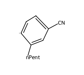 CCCCCc1[c]ccc(C#N)c1